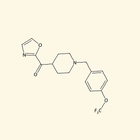 O=C(c1ncco1)C1CCN(Cc2ccc(OC(F)(F)F)cc2)CC1